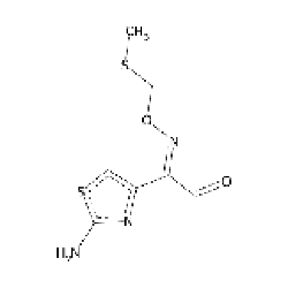 CSCO/N=C(/[C]=O)c1csc(N)n1